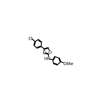 COc1ccc(Nc2nc(-c3ccc(Cl)cc3)co2)cc1